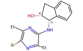 CCc1nc(N[C@H]2c3ccccc3C[C@H]2O)c(CC)nc1Br